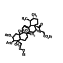 CCOOC[C@@]1(C)C2CC[C@]3(C)C(CC=C4C5[C@@H](C)[C@H](C)CC[C@]5(C(=O)NCC(=O)OCC)CC[C@]43C)[C@@]2(C)C[C@@H](OC(C)=O)[C@@H]1OC(C)=O